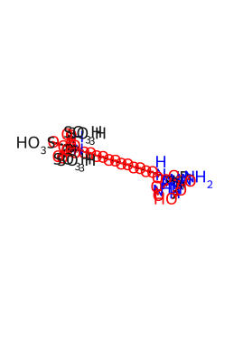 CC(C)[C@H](NC(=O)[C@H](CCCCNC(=O)CCOCCOCCOCCOCCOCCOCCOCCOCCOCCOCCOCCOCCNC(=O)[C@H](OCCCCOS(=O)(=O)O)[C@@H](OCCCCOS(=O)(=O)O)[C@H](OCCCCOS(=O)(=O)O)[C@@H](COCCCCOS(=O)(=O)O)OCCCCOS(=O)(=O)O)NC(=O)CCCCCN1C(=O)C=CC1=O)C(=O)N[C@@H](CCCNC(N)=O)C(=O)Nc1ccc(CO)cc1